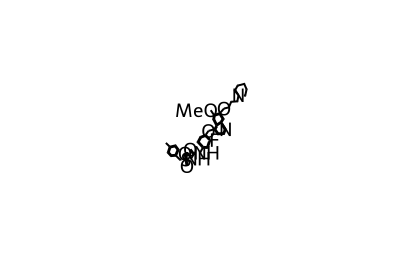 COc1cc2c(Oc3ccc(NC(=O)NS(=O)(=O)Cc4ccc(C)cc4)cc3F)ccnc2cc1OCCCN1CCCCC1